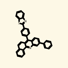 c1ccc(-c2ccc3c(-c4ccc(-c5nc6ccccc6s5)cc4)c4ccc5ccccc5c4nc3c2)cc1